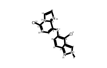 Cn1cc2c(Cl)c(Sc3cnc(Cl)n4ccnc34)ccc2n1